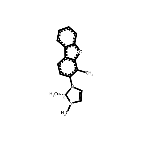 Cc1c(N2C=CN(C)[C@@H]2C)ccc2c1oc1ccccc12